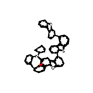 c1ccc(-c2ccccc2N(c2ccccc2)c2ccc3oc4cccc(-c5cccc6c5sc5cccc(-c7ccc8c(c7)oc7ccccc78)c56)c4c3c2)cc1